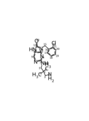 CC(C)(CN)CNc1ncc2[nH]c(=O)n(Cc3ccccc3Cl)c2n1